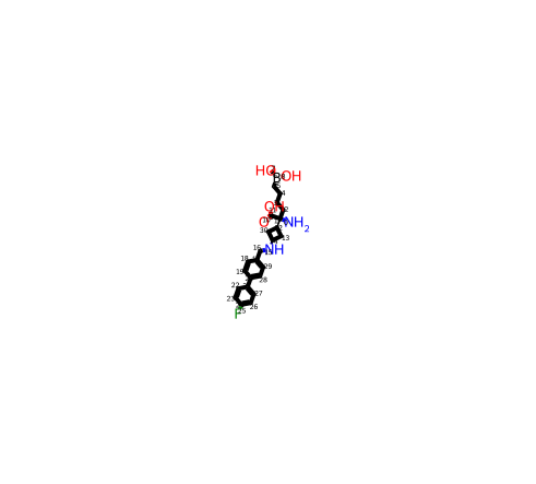 NC(CCCCB(O)O)(C(=O)O)[C@H]1C[C@@H](NCc2ccc(-c3ccc(F)cc3)cc2)C1